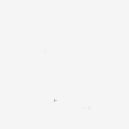 O=C(NCC1CCCCC1)c1cc2ccccc2cc1C(=O)C(c1c(I)ccc2ccccc12)P(=O)(O)O